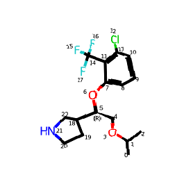 CC(C)OC[C@H](Oc1cccc(Cl)c1C(F)(F)F)C1CCNC1